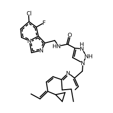 C\C=C(CN1C=C(C(=O)NCc2ncn3ccc(Cl)c(F)c23)NN1)/N=C(/C=C\C(=C/C)C1CC1)CCC